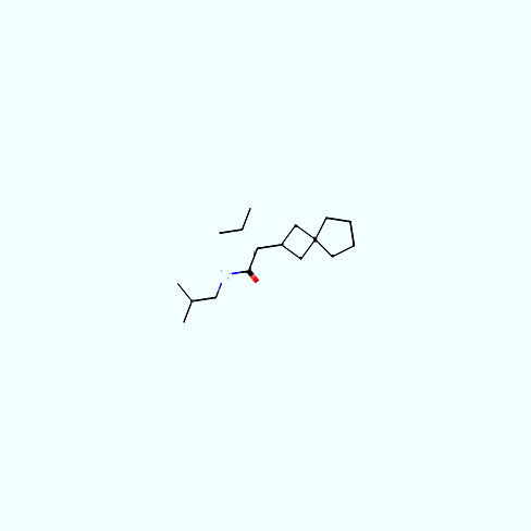 CC(C)CNC(=O)[C@H](C(C)C)C1CC2(CCCC2)C1